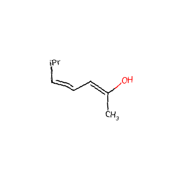 C/C(O)=C\C=C/C(C)C